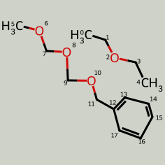 CCOCC.COCOCOCc1ccccc1